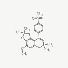 COc1cc2c(c3c1OC(C)(C)C3)C(c1ccc(S(C)(=O)=O)cc1)=NC(C)(C)C2